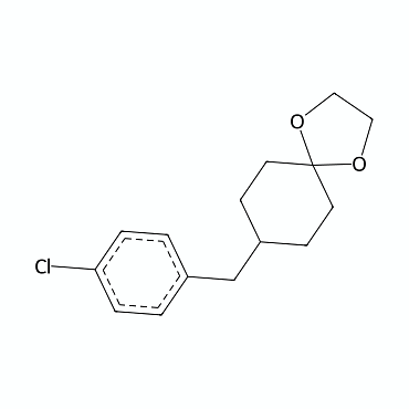 Clc1ccc(CC2CCC3(CC2)OCCO3)cc1